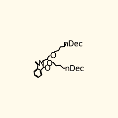 C=C1c2ccccc2C(=O)N1CC(COCCCCCCCCCCCCCC)OCCCCCCCCCCCCCC